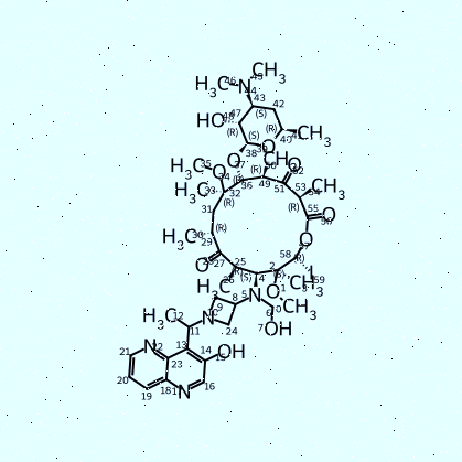 CO[C@@]1(C)[C@@H](N(CO)C2CN(C(C)c3c(O)cnc4cccnc34)C2)[C@@H](C)C(=O)[C@H](C)C[C@@](C)(OC)[C@H](O[C@@H]2O[C@H](C)C[C@H](N(C)C)[C@H]2O)[C@@H](C)C(=O)[C@@H](C)C(=O)O[C@@H]1I